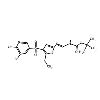 CSc1sc(/N=C/NC(=O)OC(C)(C)C)cc1S(=O)(=O)c1cnc(Cl)c(Br)c1